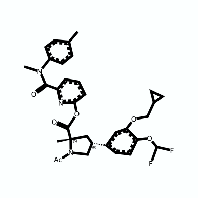 CC(=O)N1C[C@@H](c2ccc(OC(F)F)c(OCC3CC3)c2)C[C@@]1(C)C(=O)Oc1cccc(C(=O)N(C)c2ccc(C)cc2)n1